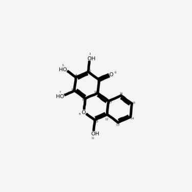 O=c1c(O)c(O)c(O)c2oc(O)c3ccccc3c1-2